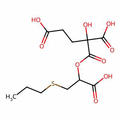 CCCSCC(OC(=O)C(O)(CCC(=O)O)C(=O)O)C(=O)O